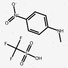 CNc1ccc([N+](=O)[O-])cc1.O=S(=O)(O)C(F)(F)F